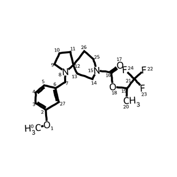 COc1cccc(CN2CCCC23CCN(C(=O)OC(C)C(F)(F)F)CC3)c1